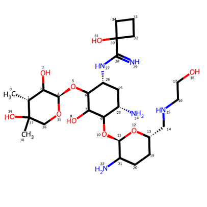 C[C@@H]1C(O)[C@@H](OC2C(O)C(O[C@H]3O[C@H](CNCCO)CCC3N)[C@@H](N)C[C@H]2NC(=N)C2(O)CCC2)OCC1(C)O